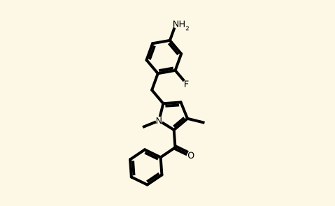 Cc1cc(Cc2ccc(N)cc2F)n(C)c1C(=O)c1ccccc1